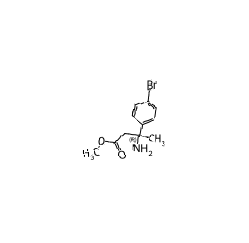 COC(=O)C[C@@](C)(N)c1ccc(Br)cc1